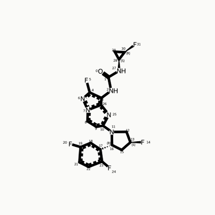 O=C(Nc1c(F)nn2ccc(N3C[C@@H](F)C[C@@H]3c3cc(F)ccc3F)nc12)N[C@H]1C[C@H]1F